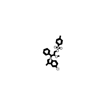 COC(COS(=O)(=O)c1ccc(C)cc1)C(c1ccccc1)n1cc(C)c2cc(Cl)ccc21